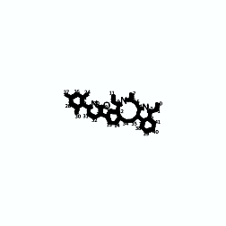 C=CC1=NC2CC(=C)/N=C(/C=C)c3c(ccc4c3oc3nc(-c5c(C)cc(C)cc5C)ccc34)CCC2c2ccccc21